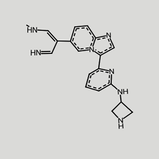 CN/C=C(\C=N)c1ccc2ncc(-c3cccc(NC4CNC4)n3)n2c1